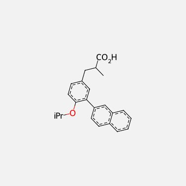 CC(C)Oc1ccc(CC(C)C(=O)O)cc1-c1ccc2ccccc2c1